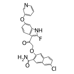 NC(=O)c1cc2cc(Cl)ccc2cc1OCC(=O)c1c(F)[nH]c2cc(Oc3cccnc3)ccc12